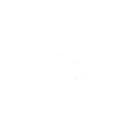 CC(=O)[O-].COc1ccc(C2=C(C)/C(=N\c3cnn(Cc4ccccc4)c3N)c3cccc[n+]32)cc1